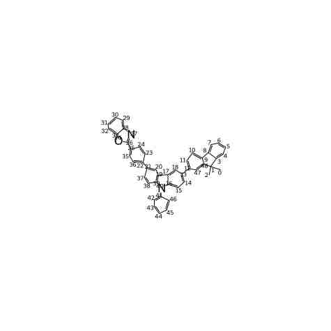 CC1(C)c2ccccc2-c2ccc(-c3ccc4c(c3)c3cc(-c5ccc(-c6nc7ccccc7o6)cc5)ccc3n4-c3ccccc3)cc21